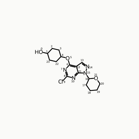 OC1CCC(Oc2nc(Cl)nc3c2cnn3C2CCCCO2)CC1